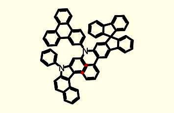 c1ccc(-c2cc3c(cc2N(c2ccc4c5ccccc5c5ccccc5c4c2)c2ccc4c5c6ccccc6ccc5n(-c5ccccc5)c4c2)C2(c4ccccc4-c4ccccc42)c2ccccc2-3)cc1